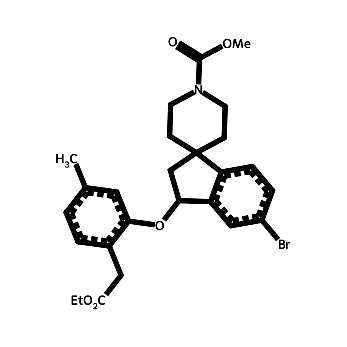 CCOC(=O)Cc1ccc(C)cc1OC1CC2(CCN(C(=O)OC)CC2)c2ccc(Br)cc21